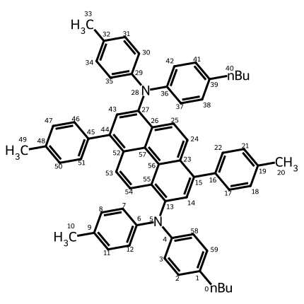 CCCCc1ccc(N(c2ccc(C)cc2)c2cc(-c3ccc(C)cc3)c3ccc4c(N(c5ccc(C)cc5)c5ccc(CCCC)cc5)cc(-c5ccc(C)cc5)c5ccc2c3c54)cc1